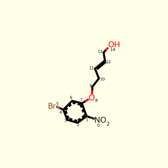 O=[N+]([O-])c1ccc(Br)cc1OCCC=CCO